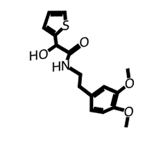 COc1ccc(CCNC(=O)C(O)c2cccs2)cc1OC